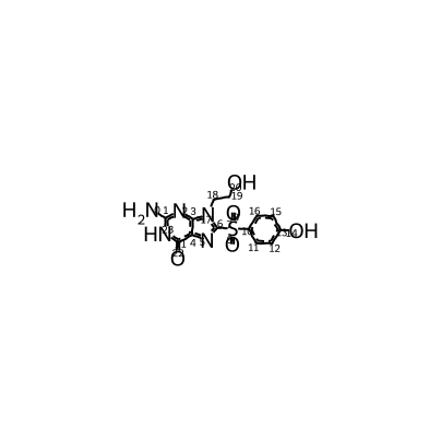 Nc1nc2c(nc(S(=O)(=O)c3ccc(O)cc3)n2CCO)c(=O)[nH]1